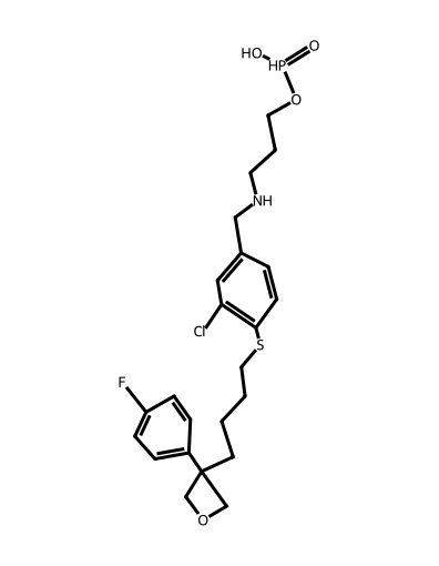 O=[PH](O)OCCCNCc1ccc(SCCCCC2(c3ccc(F)cc3)COC2)c(Cl)c1